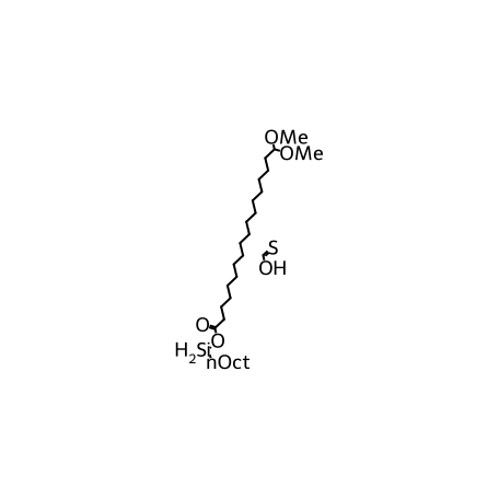 CCCCCCCC[SiH2]OC(=O)CCCCCCCCCCCCCCCCC(OC)OC.OC=S